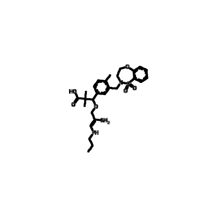 CCCP/C=C(\N)COC(c1ccc(C)c(CN2CCOc3ccccc3S2(=O)=O)c1)C(C)(C)C(=O)O